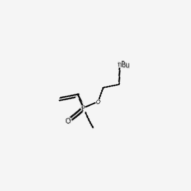 C=CP(C)(=O)OCCCCCC